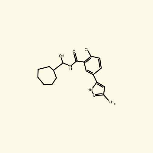 Cc1cc(-c2ccc(Cl)c(C(=O)NC(O)C3CCCCCC3)c2)[nH]n1